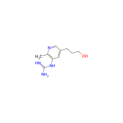 Cc1ncc(CCCO)cc1NC(=N)N